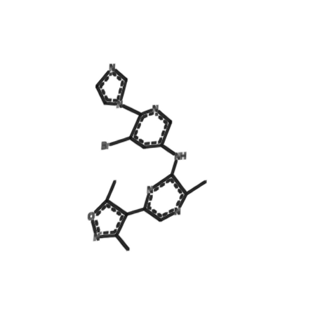 Cc1ncc(-c2c(C)noc2C)nc1Nc1cnc(-n2ccnc2)c(Br)c1